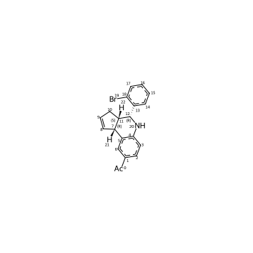 CC(=O)c1ccc2c(c1)[C@@H]1C=CC[C@@H]1[C@H](c1ccccc1Br)N2